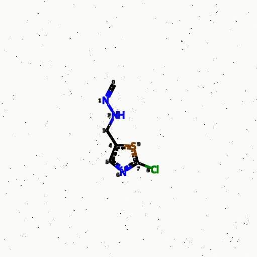 C=NNCc1cnc(Cl)s1